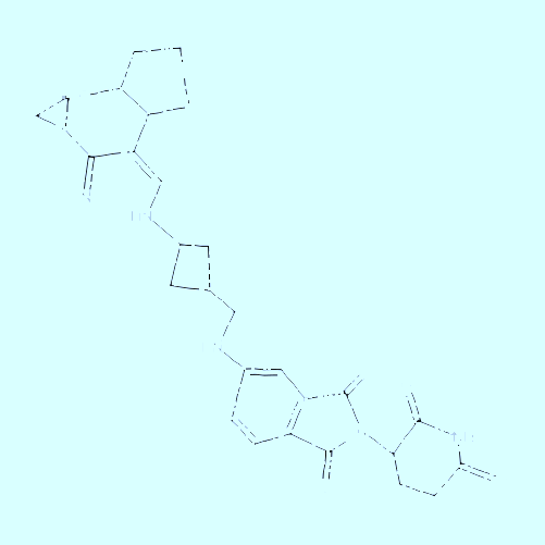 CC1CCCCC1/C(=C/NC1CC(CNc2ccc3c(c2)C(=O)N(C2CCC(=O)NC2=O)C3=O)C1)C(=N)C1CC1